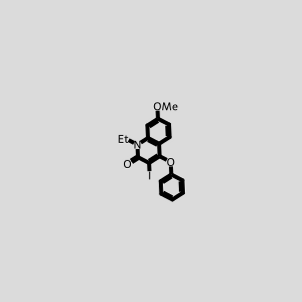 CCn1c(=O)c(I)c(Oc2ccccc2)c2ccc(OC)cc21